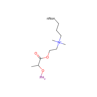 CCCCCCCCCCCC[N+](C)(C)CCOC(=O)C(C)OP